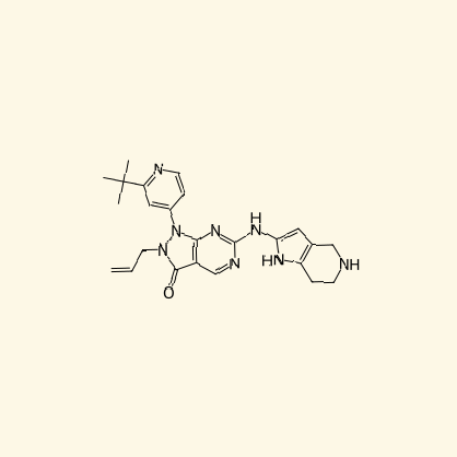 C=CCn1c(=O)c2cnc(Nc3cc4c([nH]3)CCNC4)nc2n1-c1ccnc(C(C)(C)C)c1